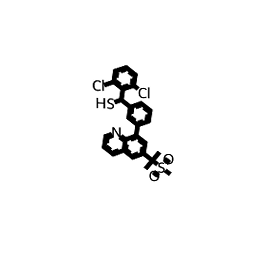 CC(C)(c1cc(-c2cccc(C(S)c3c(Cl)cccc3Cl)c2)c2ncccc2c1)S(C)(=O)=O